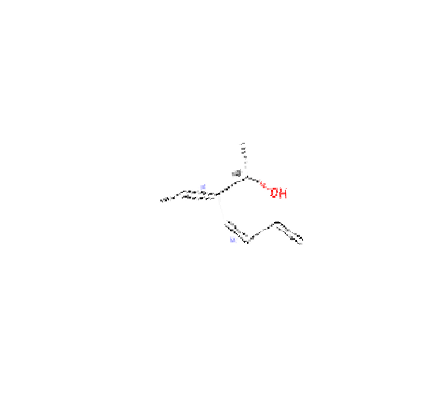 C=C/C=C\C(=C/C)[C@H](C)O